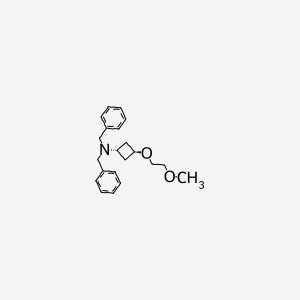 COCCO[C@H]1C[C@H](N(Cc2ccccc2)Cc2ccccc2)C1